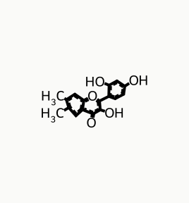 Cc1cc2oc(-c3ccc(O)cc3O)c(O)c(=O)c2cc1C